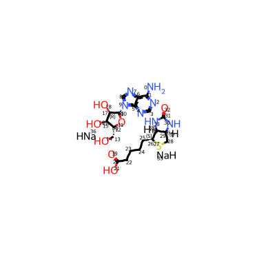 Nc1ncnc2c1ncn2[C@@H]1O[C@H](CO)[C@@H](O)[C@H]1O.O=C(O)CCCC[C@@H]1SC[C@@H]2NC(=O)N[C@@H]21.[NaH].[NaH]